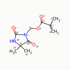 C=C(C)C(=O)OCN1C(=O)NC(C)(C)C1=O